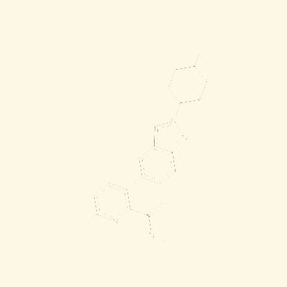 Cc1ccc(-c2ccc3nn(C4CCC(C=O)CC4)cc3c2)c(C(N)=O)n1